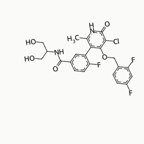 Cc1[nH]c(=O)c(Cl)c(OCc2ccc(F)cc2F)c1-c1cc(C(=O)NC(CO)CO)ccc1F